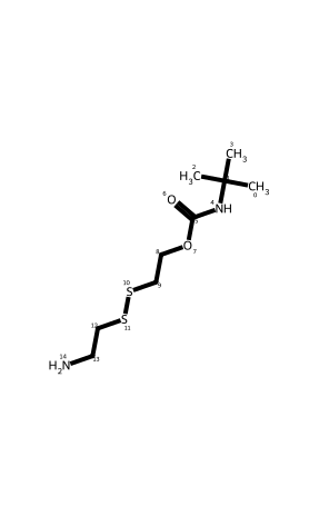 CC(C)(C)NC(=O)OCCSSCCN